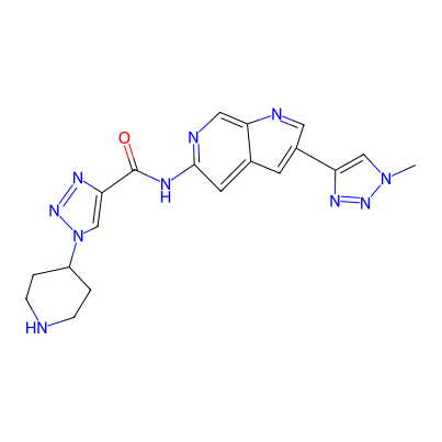 Cn1cc(-c2cnc3cnc(NC(=O)c4cn(C5CCNCC5)nn4)cc3c2)nn1